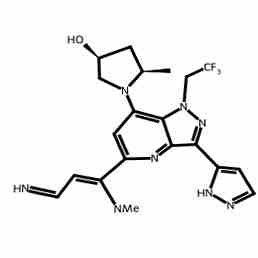 CN/C(=C\C=N)c1cc(N2C[C@@H](O)C[C@H]2C)c2c(n1)c(-c1ccn[nH]1)nn2CC(F)(F)F